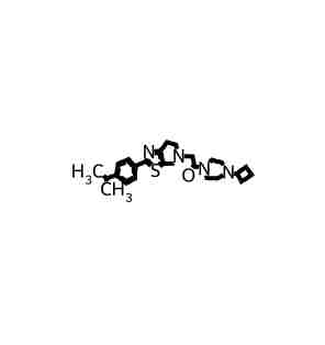 CC(C)c1ccc(-c2nc3c(s2)CN(CC(=O)N2CCN(C4CCC4)CC2)CC3)cc1